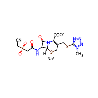 Cn1nnnc1SCC1=C(C(=O)[O-])N2C(=O)C(NC(=O)CS(=O)(=O)CC#N)[C@H]2SC1.[Na+]